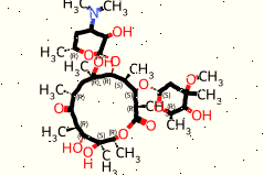 COC1(C)C[C@@H](O[C@H]2[C@H](C)[C@@H](O[C@@H]3O[C@H](C)CC(N(C)C)C3O)[C@](C)(O)C[C@@H](C)C(=O)[C@H](C)[C@@H](O)[C@](C)(O)[C@@H](C)OC(=O)[C@@H]2C)O[C@H](C)C1O